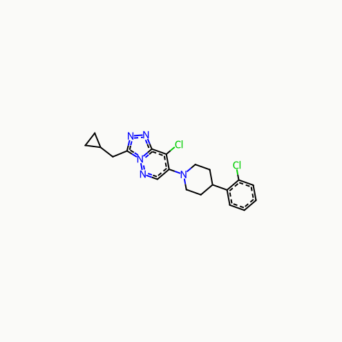 Clc1ccccc1C1CCN(c2cnn3c(CC4CC4)nnc3c2Cl)CC1